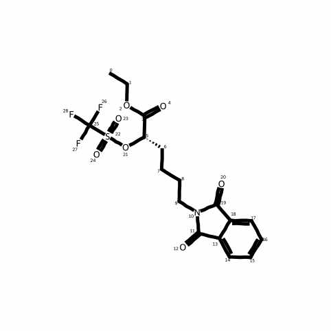 CCOC(=O)[C@H](CCCCN1C(=O)c2ccccc2C1=O)OS(=O)(=O)C(F)(F)F